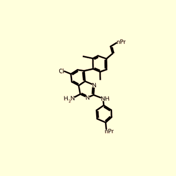 CCC/C=C/c1cc(C)c(-c2cc(Cl)cc3c(N)nc(Nc4ccc(CCC)cc4)nc23)c(C)c1